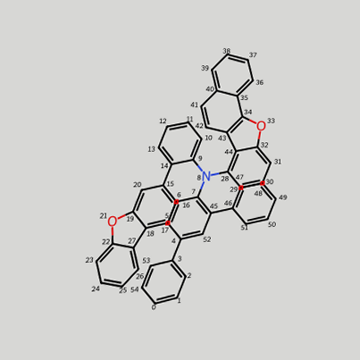 c1ccc(-c2ccc(N(c3ccccc3-c3ccc4c(c3)oc3ccccc34)c3cccc4oc5c6ccccc6ccc5c34)c(-c3ccccc3)c2)cc1